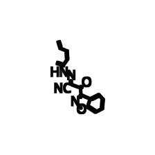 C=C/C=C\C(=C)N/N=C(\C#N)C(=O)c1noc2ccccc12